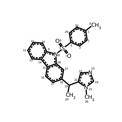 Cc1ccc(S(=O)(=O)n2c3ccccc3c3ccc(C(C)c4cncn4C)cc32)cc1